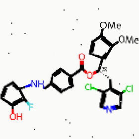 COc1ccc([C@H](Cc2c(Cl)cncc2Cl)OC(=O)c2ccc(CNc3cccc(O)c3F)cc2)cc1OC